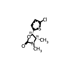 C[C@H]1[C@@H](c2ccc(Cl)s2)OC(=O)N1C